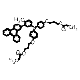 C=CC(=O)OCCCOc1ccc(N(c2ccc(OCCCOC(=O)C=C)cc2)c2ccc(C)c(-c3ccc4c5ccccc5c5ccccc5c4c3)c2)cc1